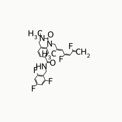 C=C(F)/C=C(F)\C=C(/C)CN1C(=O)N(C)Cc2ccc(C(=O)NCc3c(F)cc(F)cc3F)cc21